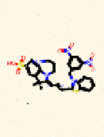 CC1(C)/C(=C/C=C/c2sc3ccccc3[n+]2Cc2cc([N+](=O)[O-])cc([N+](=O)[O-])c2)N(CCCN)c2ccc(S(=O)(=O)O)cc21